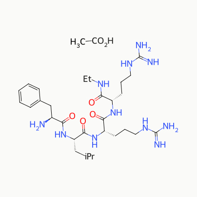 CC(=O)O.CCNC(=O)[C@H](CCCNC(=N)N)NC(=O)[C@H](CCCNC(=N)N)NC(=O)[C@H](CC(C)C)NC(=O)[C@@H](N)Cc1ccccc1